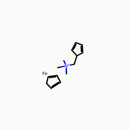 C1=CCC=C1.C[N+](C)(C)CC1C=CC=C1.[Fe]